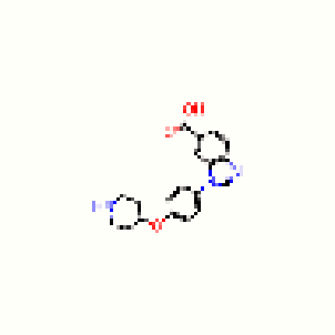 O=C(O)c1ccc2ncn(-c3ccc(OC4CCNCC4)cc3)c2c1